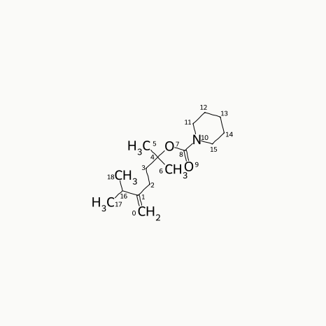 C=C(CCC(C)(C)OC(=O)N1CCCCC1)C(C)C